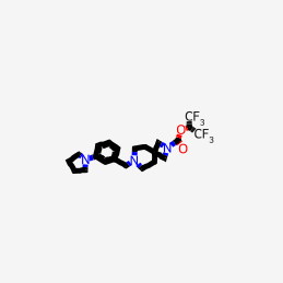 O=C(OC(C(F)(F)F)C(F)(F)F)N1CC2(CCN(Cc3cccc(N4CCCC4)c3)CC2)C1